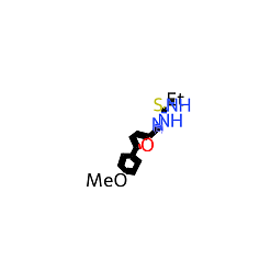 CCNC(=S)N/N=C/c1ccc(-c2ccc(OC)cc2)o1